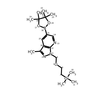 Cc1nn(COCC[Si](C)(C)C)c2ncc(B3OC(C)(C)C(C)(C)O3)cc12